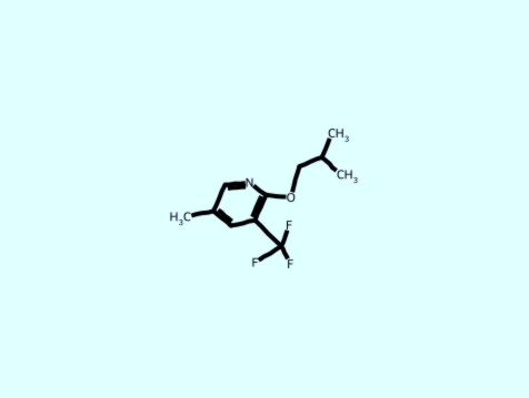 Cc1cnc(OCC(C)C)c(C(F)(F)F)c1